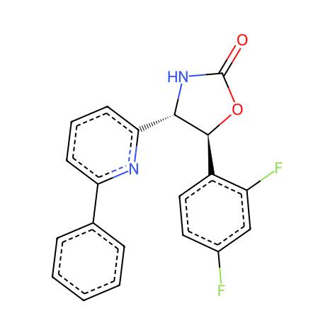 O=C1N[C@@H](c2cccc(-c3ccccc3)n2)[C@H](c2ccc(F)cc2F)O1